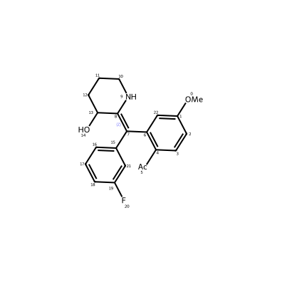 COc1ccc(C(C)=O)c(/C(=C2\NCCCC2O)c2cccc(F)c2)c1